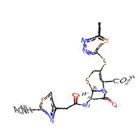 CC(=O)Nc1nc(CC(=O)N[C@@H]2C(=O)N3C(C(=O)O)=C(Sc4nnc(C)s4)CS[C@H]23)cs1